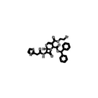 O=C(Cc1nccs1)NC1C(=O)N2C(C(=O)OC(c3ccccc3)c3ccccc3)C(C(=O)OCCBr)=CS[C@@H]12